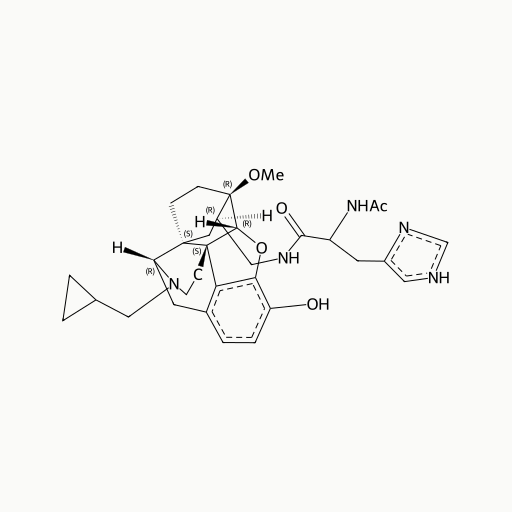 CO[C@]12CC[C@@]3(C[C@@H]1CNC(=O)C(Cc1c[nH]cn1)NC(C)=O)[C@H]1Cc4ccc(O)c5c4[C@@]3(CCN1CC1CC1)[C@H]2O5